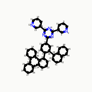 c1cncc(-c2nc(-c3cccnc3)nc(-c3ccc(-c4cccc5c6ccccc6c6ccccc6c45)c(-c4cccc5ccccc45)c3)n2)c1